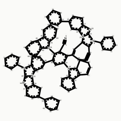 N#Cc1c(C2=Cc3c(n(-c4ccccc4)c4nc5ccc(-c6ccccc6)cc5n34)C#CC2)c(-n2c3c(c4ccccc42)C=CCC3)cc(-c2ccc3c(c2)n2c4cc(-c5ccccc5)ccc4nc2n3-c2ccccc2)c1-n1c2ccccc2c2ccccc21